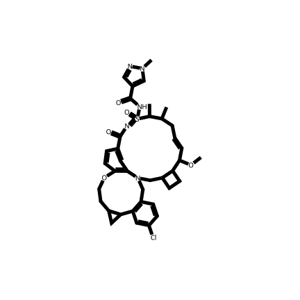 COC1/C=C/CC(C)C(C)S(=O)(NC(=O)c2cnn(C)c2)=NC(=O)c2ccc3c(c2)N(Cc2ccc(Cl)cc2C2CC2CCO3)CC2CCC21